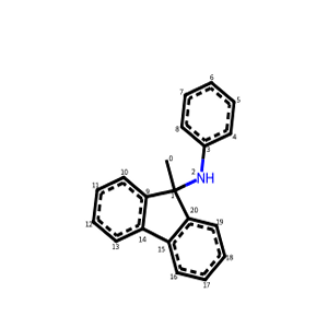 CC1(Nc2ccccc2)c2ccccc2-c2ccccc21